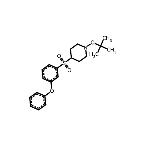 CC(C)(C)ON1CCC(S(=O)(=O)c2cccc(Oc3ccccc3)c2)CC1